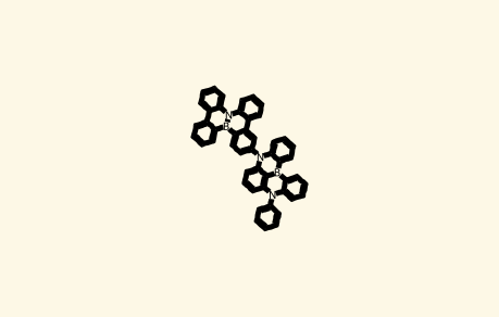 c1ccc(N2c3ccccc3B3c4ccccc4N(c4ccc5c(c4)-c4ccccc4N4B5c5ccccc5-c5ccccc54)c4cccc2c43)cc1